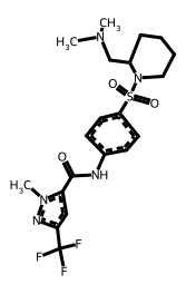 CN(C)CC1CCCCN1S(=O)(=O)c1ccc(NC(=O)c2cc(C(F)(F)F)nn2C)cc1